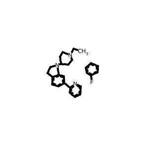 CCN1CCC(N2CCc3ccc(-c4ccccn4)cc32)CC1.Fc1ccccc1